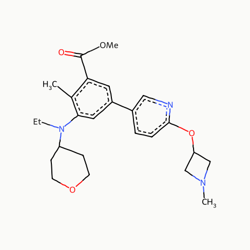 CCN(c1cc(-c2ccc(OC3CN(C)C3)nc2)cc(C(=O)OC)c1C)C1CCOCC1